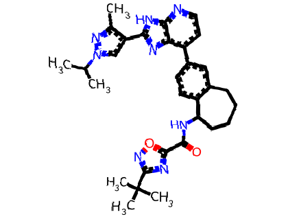 Cc1nn(C(C)C)cc1-c1nc2c(-c3ccc4c(c3)CCCCC4NC(=O)c3nc(C(C)(C)C)no3)ccnc2[nH]1